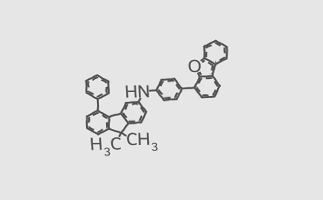 CC1(C)c2ccc(Nc3ccc(-c4cccc5c4oc4ccccc45)cc3)cc2-c2c(-c3ccccc3)cccc21